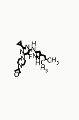 CC(C)Cc1cc(Nc2nc(C3CC3)nc(N3CCN(C4COC4)CC3)c2F)n[nH]1